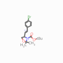 CC(C)(C)OC(=O)N1C(/C=C/c2ccc(Br)cc2)COC1(C)C